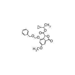 COc1cc(OCOCc2ccccc2)c2c(c1)C(=O)OC2C(=O)OC(C)C1CC1